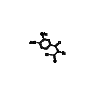 CCN(C(=O)Cl)C(=O)c1ccc(OC(C)=O)c(OC(C)=O)c1